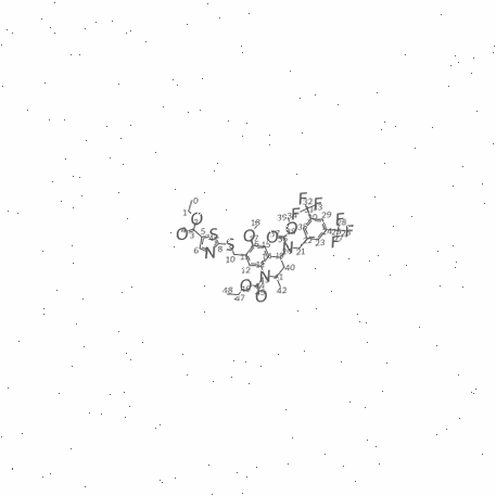 CCOC(=O)c1cnc(SCc2cc3c(cc2OC)C(N(Cc2cc(C(F)(F)F)cc(C(F)(F)F)c2)C(=O)OC)CC(C)N3C(=O)OCC)s1